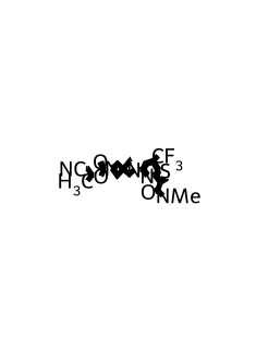 CNC(=O)c1csc2c(C(F)(F)F)cc(N3CC4(CN(C(=O)OC(C)CC#N)C4)C3)nc12